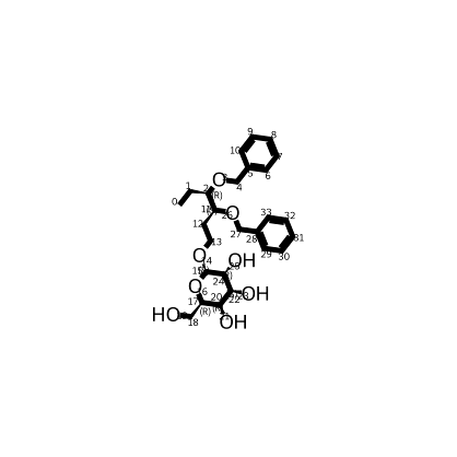 CC[C@@H](OCc1ccccc1)[C@H](CCO[C@H]1O[C@H](CO)[C@H](O)[C@H](O)[C@H]1O)OCc1ccccc1